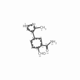 Cc1n[nH]cc1-c1ccc(C=O)c(C(N)=O)c1